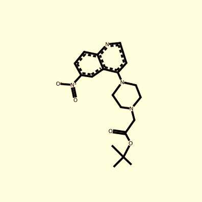 CC(C)(C)OC(=O)CN1CCN(c2ccnc3ccc([N+](=O)[O-])cc23)CC1